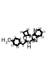 Cc1ccc(CC(=O)Nc2nc3cccnc3n2C2CCC2)cc1